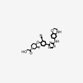 N#Cc1cc(-c2ncnc(Nc3ccc4c(c3)NCCO4)n2)ccc1OC1CCN(C(=O)CO)CC1F